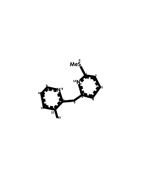 CSc1cccc(Cc2ncccc2C)n1